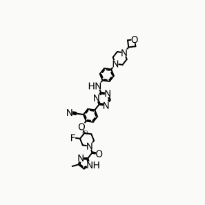 Cc1c[nH]c(C(=O)N2CC[C@H](Oc3ccc(-c4ncnc(Nc5ccc(N6CCN(C7COC7)CC6)cc5)n4)cc3C#N)C(F)C2)n1